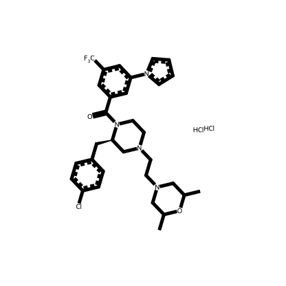 CC1CN(CCN2CCN(C(=O)c3cc(-n4cccc4)cc(C(F)(F)F)c3)[C@H](Cc3ccc(Cl)cc3)C2)CC(C)O1.Cl.Cl